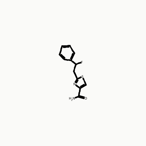 NC(=O)c1csc(CC(F)c2ccccc2)n1